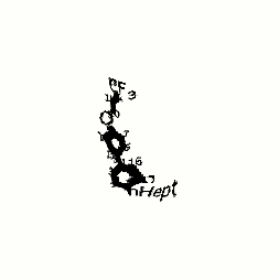 CCCCCCCc1ccc(-c2ccc(OC/C=C/C(F)(F)F)cc2)cc1